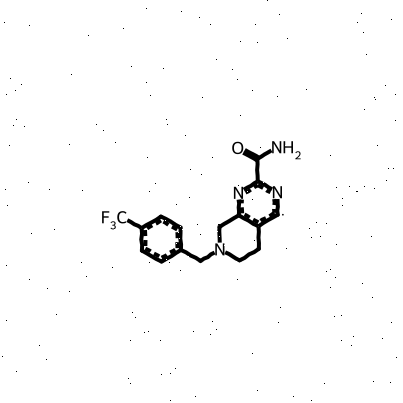 NC(=O)c1n[c]c2c(n1)CN(Cc1ccc(C(F)(F)F)cc1)CC2